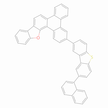 c1ccc2c(-c3ccc4sc5ccc(-c6ccc7c(c6)c6ccccc6c6ccc8c9ccccc9oc8c67)cc5c4c3)cccc2c1